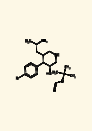 CC(C)(C)OC=O.CC(C)CC1CNCC(O)C1c1ccc(Br)cc1